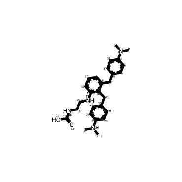 CN(C)c1ccc(Cc2cccc(NCCNC(=O)O)c2Cc2ccc(N(C)C)cc2)cc1